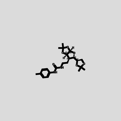 Cc1ccc(NC(=O)NCC[C@H]2[C@H]3OC(C)(C)O[C@H]3O[C@@H]2[C@H]2COC(C)(C)O2)cc1